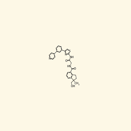 CC1(CO)CCc2c(C(=O)NCC(=O)Nc3nc(-c4cccc(-c5ccncc5)c4)cs3)cccc21